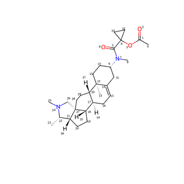 CC(=O)OC1(C(=O)N(C)[C@H]2CC[C@@]3(C)C(=CC[C@H]4[C@@H]5CC[C@@H]6[C@H](C)N(C)C[C@@]65CC[C@@H]43)C2)CC1